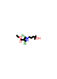 CCOC(=O)c1c(Br)nn(CCCC(C)(C)O)c1Br